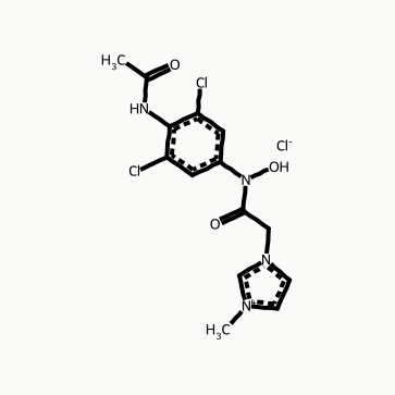 CC(=O)Nc1c(Cl)cc(N(O)C(=O)Cn2cc[n+](C)c2)cc1Cl.[Cl-]